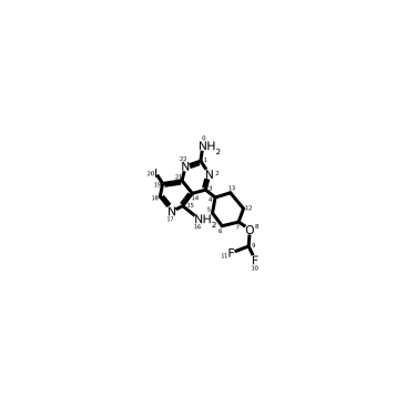 Nc1nc(C2CCC(OC(F)F)CC2)c2c(N)ncc(I)c2n1